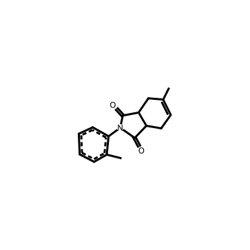 CC1=CCC2C(=O)N(c3ccccc3C)C(=O)C2C1